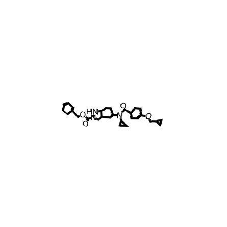 O=C(OCC1=CC=CCC1)N1CC2CC(N(C(=O)C3CC=C(OCC4CC4)CC3)C3CC3)CCC2N1